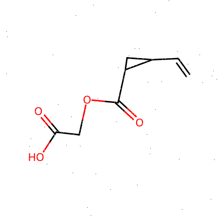 C=CC1CC1C(=O)OCC(=O)O